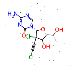 C[C@@H](O)[C@H]1O[C@@H](n2cnc(N)nc2=O)[C@@](Cl)(C#CCl)C1O